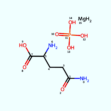 NC(=O)CCC(N)C(=O)O.O=P(O)(O)O.[MgH2]